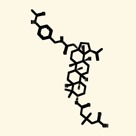 C=C(C)[C@@H]1CC[C@]2(CC(=O)NCc3ccc(NC(C)=O)cc3)CC[C@]3(C)[C@H](CC[C@@H]4[C@@]5(C)CC[C@H](OC(=O)CC(C)(C)CC(=O)O)C(C)(C)[C@@H]5CC[C@]43C)[C@@H]12